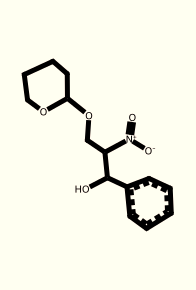 O=[N+]([O-])C(COC1CCCCO1)C(O)c1ccccc1